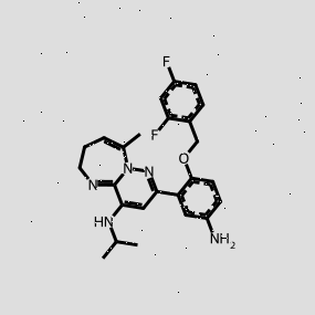 CC1=CCCN=C2C(NC(C)C)=CC(c3cc(N)ccc3OCc3ccc(F)cc3F)=NN12